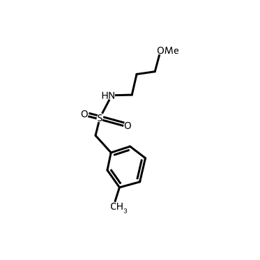 COCCCNS(=O)(=O)Cc1cccc(C)c1